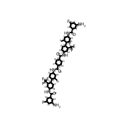 Cc1cc(NC(=O)c2cc(N)cc(F)c2)ccc1-c1ccc(NC(=O)c2ccc(C(=O)Nc3ccc(-c4ccc(NC(=O)c5cc(N)cc(F)c5)cc4C(F)(F)F)c(C)c3)cc2)cc1C(F)(F)F